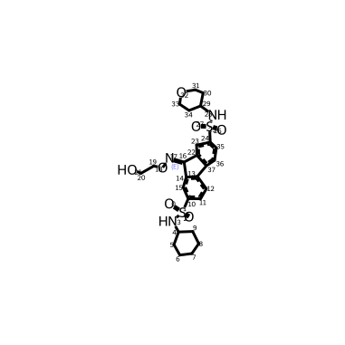 O=S(=O)(NC1CCCCC1)c1ccc2c(c1)/C(=N\OCCO)c1cc(S(=O)(=O)NC3CCOCC3)ccc1-2